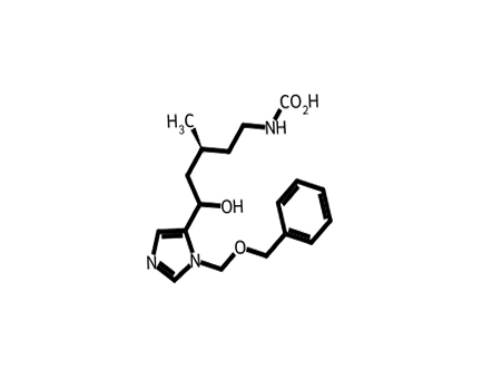 C[C@@H](CCNC(=O)O)CC(O)c1cncn1COCc1ccccc1